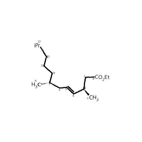 CCOC(=O)C[C@@H](C)/C=C/C[C@H](C)CCCC(C)C